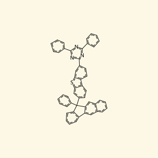 c1ccc(-c2nc(-c3ccccc3)nc(-c3ccc4c(c3)sc3cc(C5(c6ccccc6)c6ccccc6-c6cc7ccccc7cc65)ccc34)n2)cc1